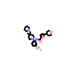 CC1(CN2CCCCC2)CCN(c2ccc(C(F)(F)F)cc2NC(=O)c2ccc(C3CCOCC3)o2)CC1